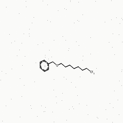 FC(F)(F)CCCCCCCOCc1ccccc1